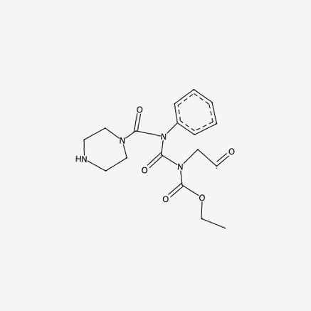 CCOC(=O)N(C[C]=O)C(=O)N(C(=O)N1CCNCC1)c1ccccc1